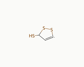 SC1C=[C]SS1